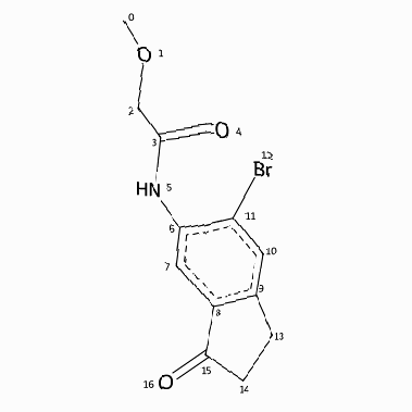 COCC(=O)Nc1cc2c(cc1Br)CCC2=O